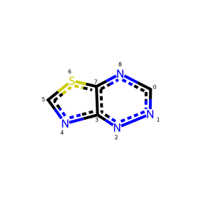 c1nnc2ncsc2n1